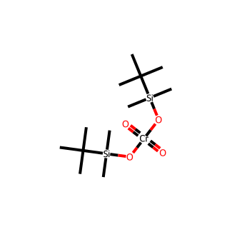 CC(C)(C)[Si](C)(C)[O][Cr](=[O])(=[O])[O][Si](C)(C)C(C)(C)C